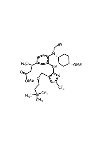 COC(=O)CC(C)c1ccc(N(CC(C)C)[C@H]2CC[C@@H](OC)CC2)c(Nc2nc(C(F)(F)F)cn2COCC[Si](C)(C)C)c1